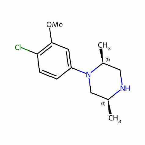 COc1cc(N2C[C@H](C)NC[C@@H]2C)ccc1Cl